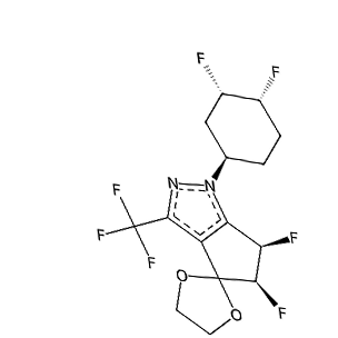 F[C@@H]1CC[C@@H](n2nc(C(F)(F)F)c3c2[C@@H](F)[C@@H](F)C32OCCO2)C[C@@H]1F